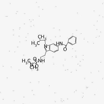 CC(C)Cn1cc(CCNS(=O)(=O)N(C)C)c2ccc(NC(=O)c3ccccc3)cc21